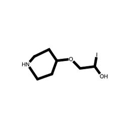 OC(I)COC1CCNCC1